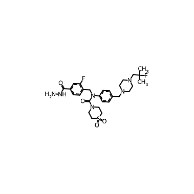 CC(C)(F)CN1CCN(Cc2ccc(N(Cc3ccc(C(=O)NN)cc3F)C(=O)N3CCS(=O)(=O)CC3)cc2)CC1